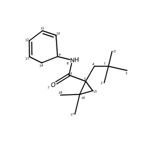 CC(C)(C)CC1(C(=O)NC2C=CC=CC2)CC1(C)C